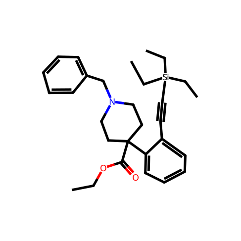 CCOC(=O)C1(c2ccccc2C#C[Si](CC)(CC)CC)CCN(Cc2ccccc2)CC1